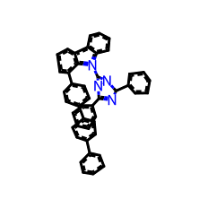 c1ccc(C2=NC(c3ccccc3)N3C(n4c5ccccc5c5cccc(-c6ccc(-c7ccc(-c8ccccc8)cc7)cc6)c54)N23)cc1